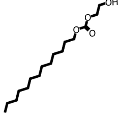 CCCCCCCCCCCCCOC(=O)OCCO